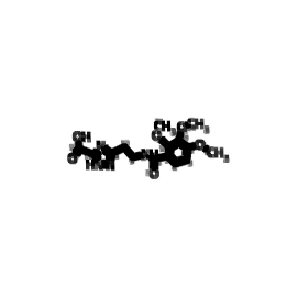 COc1ccc(C(=O)NCCc2n[nH]c(C(=O)O)n2)c(OC)c1OC